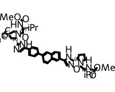 COC(=O)N[C@H](C(=O)N1CCC[C@H]1c1ncc(-c2ccc3cc(-c4ccc(-c5cnc([C@@H]6C[Si](C)(C)CN6C(=O)[C@@H](NC(=O)OC)C(C)C)[nH]5)cc4)ccc3c2)[nH]1)C(C)C